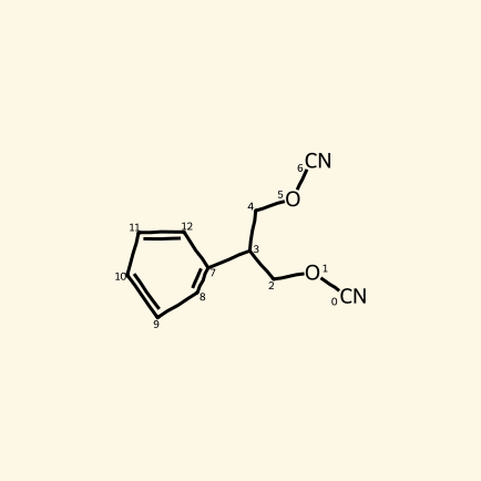 N#COCC(COC#N)c1ccccc1